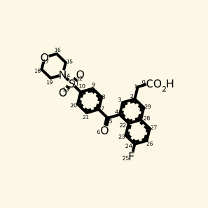 O=C(O)Cc1cc(C(=O)c2ccc(S(=O)(=O)N3CCOCC3)cc2)c2cc(F)ccc2c1